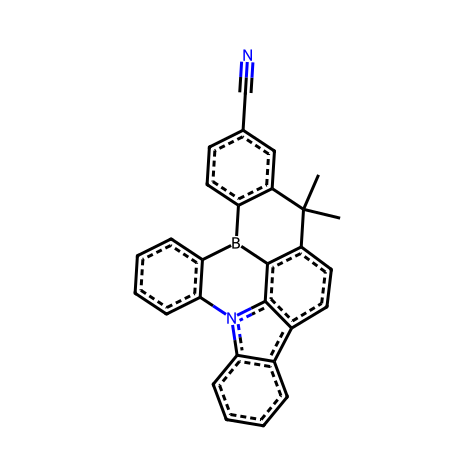 CC1(C)c2cc(C#N)ccc2B2c3ccccc3-n3c4ccccc4c4ccc1c2c43